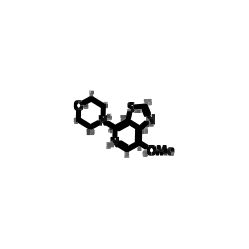 COc1cnc(N2CCOCC2)c2scnc12